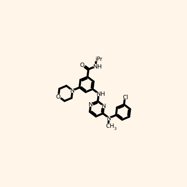 CC(C)NC(=O)c1cc(Nc2nccc(N(C)c3cccc(Cl)c3)n2)cc(N2CCOCC2)c1